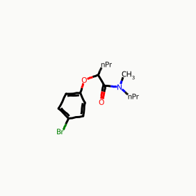 CCCC(Oc1ccc(Br)cc1)C(=O)N(C)CCC